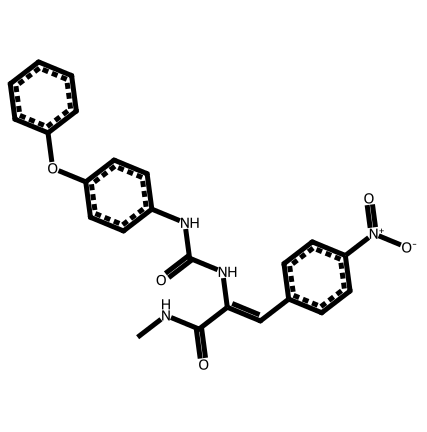 CNC(=O)C(=Cc1ccc([N+](=O)[O-])cc1)NC(=O)Nc1ccc(Oc2ccccc2)cc1